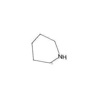 [C]1CCCCN1